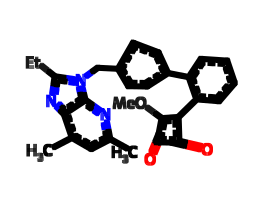 [CH2]Oc1c(-c2ccccc2-c2ccc(Cn3c(CC)nc4c(C)cc(C)nc43)cc2)c(=O)c1=O